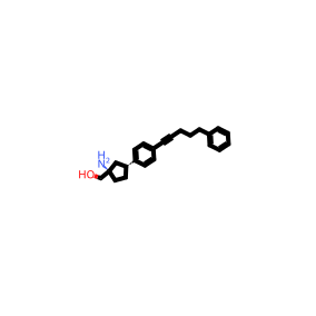 N[C@@]1(CO)CC[C@@H](c2ccc(C#CCCCc3ccccc3)cc2)C1